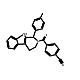 Cc1ccc(C2c3[nH]c4ccccc4c3CCN2C(=O)c2ccc(C#N)cc2)cc1